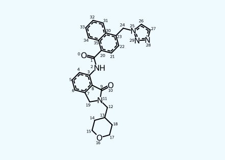 O=C(Nc1cccc2c1C(=O)N(CC1CCOCC1)C2)c1ccc(Cn2ccnn2)c2ccccc12